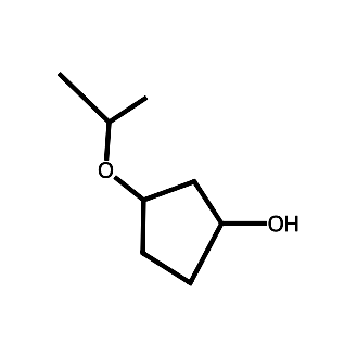 CC(C)OC1CCC(O)C1